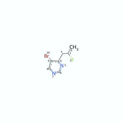 CC(F)Cc1ncncc1Br